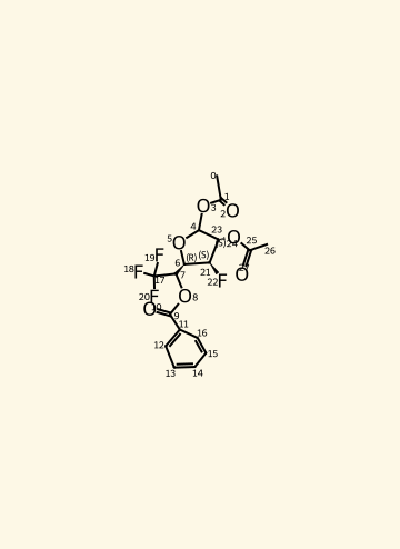 CC(=O)OC1O[C@H](C(OC(=O)c2ccccc2)C(F)(F)F)[C@H](F)[C@H]1OC(C)=O